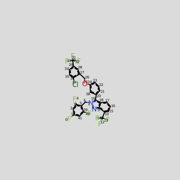 Fc1cc(F)c(Cn2nc3c(C(F)(F)F)cccc3c2-c2cccc(OCc3cc(C(F)(F)F)ccc3Cl)c2)c(F)c1